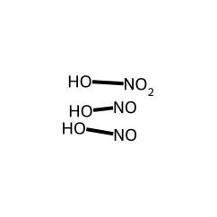 O=NO.O=NO.O=[N+]([O-])O